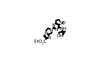 CCOC(=O)c1cn2c(n1)CN(c1nc3c(c(NC4(CO)CC4)n1)[S+]([O-])CC3)CC2